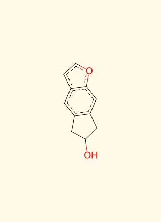 OC1Cc2cc3ccoc3cc2C1